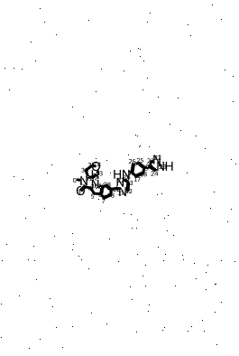 CN(C(=O)C1Cc2ccc(-c3nccc(Nc4ccc(-c5cn[nH]c5)cc4)n3)cc2N1)C1CCOCC1